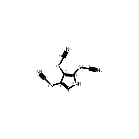 N#CSc1c[nH]c(SC#N)c1SC#N